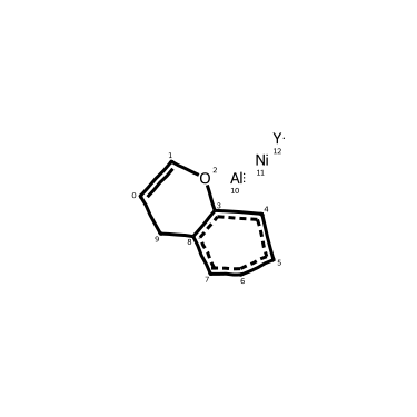 C1=COc2ccccc2C1.[Al].[Ni].[Y]